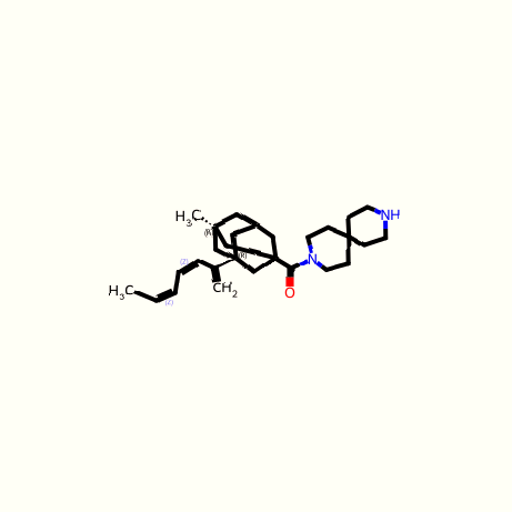 C=C(/C=C\C=C/C)[C@]12CC3CC(C(=O)N4CCC5(CCNCC5)CC4)(C[C@](C)(C3)C1)C2